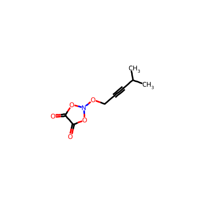 CC(C)C#CCOn1oc(=O)c(=O)o1